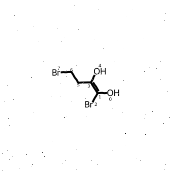 OC(Br)=C(O)CCBr